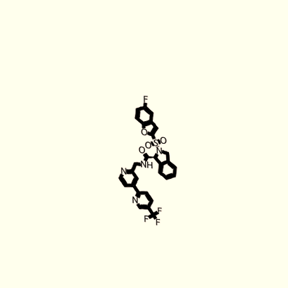 O=C(NCc1cc(-c2ccc(C(F)(F)F)cn2)ccn1)[C@@H]1c2ccccc2CN1S(=O)(=O)c1cc2cc(F)ccc2o1